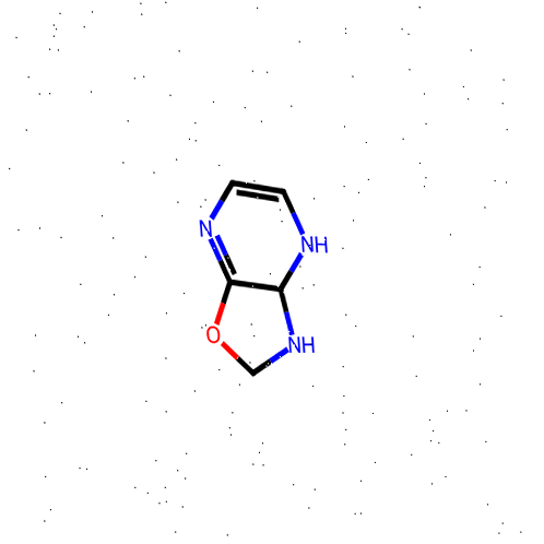 C1=CNC2NCOC2=N1